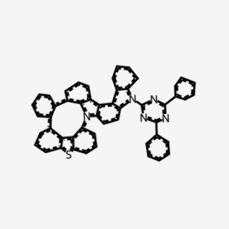 c1ccc(-c2nc(-c3ccccc3)nc(-n3c4ccccc4c4c5c6cccc7c8ccccc8c8cccc9sc%10cccc(c%10c98)n(c5ccc43)c76)n2)cc1